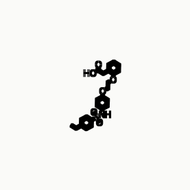 CCc1ccc(S(=O)(=O)Nc2ccc(OCCOc3ccccc3CC(=O)O)cc2)cc1